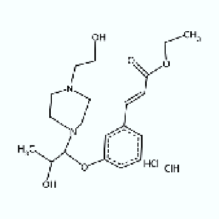 CCOC(=O)C=Cc1cccc(OC(C(C)O)N2CCN(CCO)CC2)c1.Cl.Cl